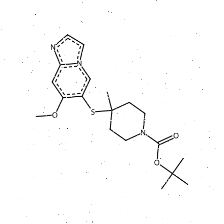 COc1cc2nccn2cc1SC1(C)CCN(C(=O)OC(C)(C)C)CC1